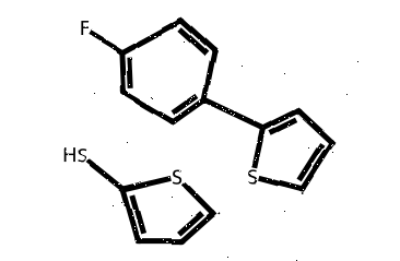 Fc1ccc(-c2cc[c]s2)cc1.Sc1cc[c]s1